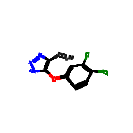 O=C(O)c1nn[nH]c1Oc1ccc(Cl)c(Cl)c1